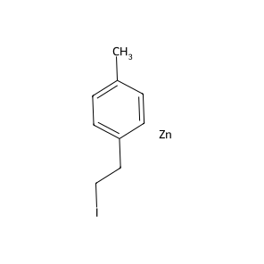 Cc1ccc(CCI)cc1.[Zn]